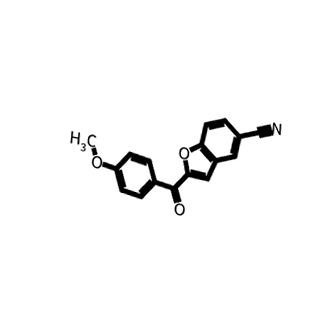 COc1ccc(C(=O)c2cc3cc(C#N)ccc3o2)cc1